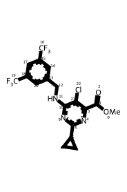 COC(=O)c1nc(C2CC2)nc(NCc2cc(C(F)(F)F)cc(C(F)(F)F)c2)c1Cl